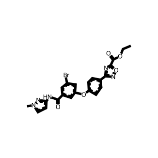 CCOC(=O)c1nc(-c2ccc(Oc3cc(Br)cc(C(=O)Nc4ccn(C)n4)c3)cc2)no1